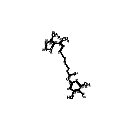 C=C(C=CCCCCC(=O)Oc1cc(O)c(F)c(O)c1)c1nnnn1C